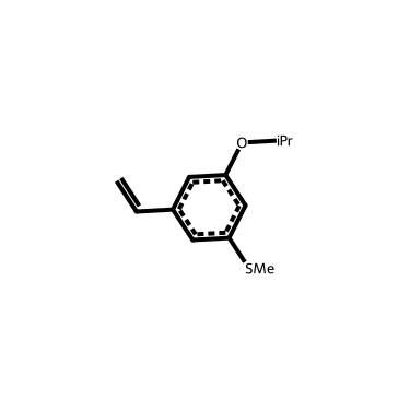 C=Cc1cc(OC(C)C)cc(SC)c1